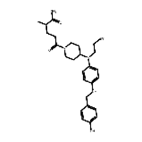 CC(C)CCN(c1ccc(NCc2ccc(O)cc2)cc1)C1CCN(C(=O)[CH]CC(C)C(N)=O)CC1